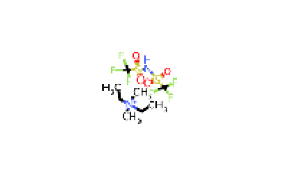 CC[N+](C)(C)CC.O=S(=O)(NS(=O)(=O)C(F)(F)F)C(F)(F)F